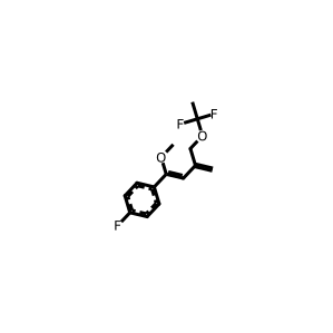 C=C(/C=C(\OC)c1ccc(F)cc1)COC(C)(F)F